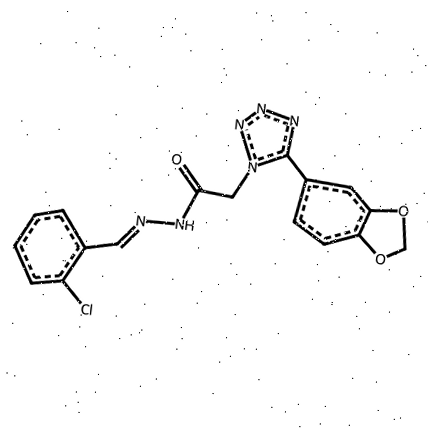 O=C(Cn1nnnc1-c1ccc2c(c1)OCO2)NN=Cc1ccccc1Cl